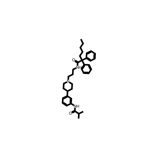 CCCCCC(C(=O)NCCCN1CCC(c2cccc(NC(=O)C(C)C)c2)CC1)(c1ccccc1)c1ccccc1